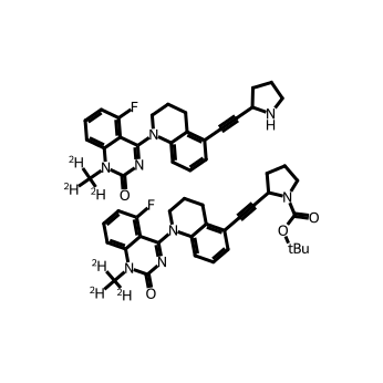 [2H]C([2H])([2H])n1c(=O)nc(N2CCCc3c(C#CC4CCCN4)cccc32)c2c(F)cccc21.[2H]C([2H])([2H])n1c(=O)nc(N2CCCc3c(C#CC4CCCN4C(=O)OC(C)(C)C)cccc32)c2c(F)cccc21